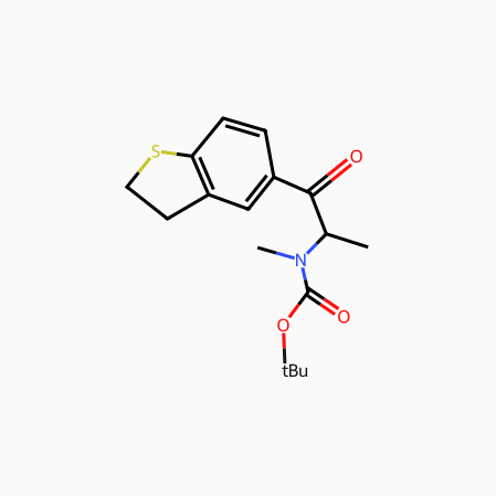 CC(C(=O)c1ccc2c(c1)CCS2)N(C)C(=O)OC(C)(C)C